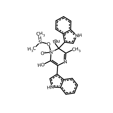 CC1=NC(c2c[nH]c3ccccc23)=C(O)[N+]([O-])(O[SiH](C)C)C1(c1c[nH]c2ccccc12)C(C)(C)C